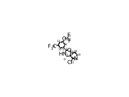 C[C@H](NC(=O)c1cc(OC(F)F)cc(C(F)(F)F)c1)c1nccnc1Cl